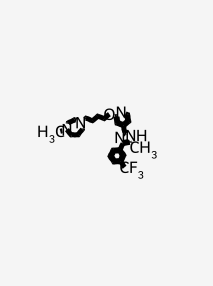 Cc1[nH]c(-c2ccnc(OCCCCN3CCCN(C)CC3)c2)nc1-c1cccc(C(F)(F)F)c1